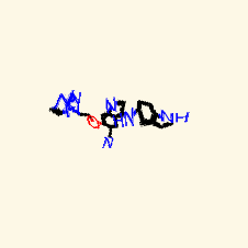 N#Cc1cc2c(Nc3ccc4[nH]ccc4c3)ccnc2cc1OCCn1ccnn1